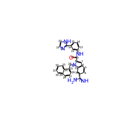 N=C(N)c1ccc2cc(C(=O)Nc3cccc(-c4ncc[nH]4)c3)n(Cc3cccc4ccccc34)c2c1